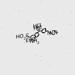 CCC1(N)Oc2ccc(C(=O)c3ccc(C=NN4CCN(C)CC4)cc3)cc2CC1CC(=O)O.Cl.Cl